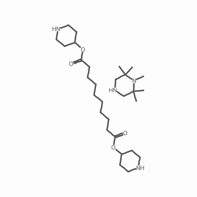 CN1C(C)(C)CNCC1(C)C.O=C(CCCCCCCCC(=O)OC1CCNCC1)OC1CCNCC1